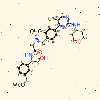 COCc1cccc(C(CO)NC(=O)CN(C)Cc2ccc(-c3nc(NC4CCOCC4)ncc3Cl)cc2C=O)c1